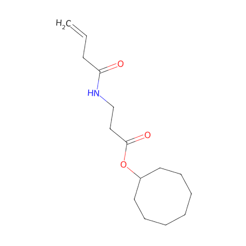 C=CCC(=O)NCCC(=O)OC1CCCCCCC1